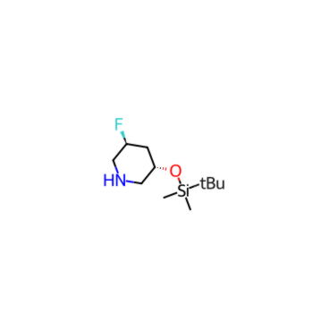 CC(C)(C)[Si](C)(C)O[C@@H]1CNC[C@@H](F)C1